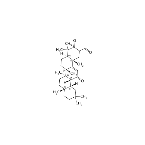 CC1(C)CC[C@]2(C)CC[C@]3(C)[C@H](C(=O)C=C4[C@@]5(C)CC(C=O)C(=O)C(C)(C)[C@@H]5CC[C@]43C)[C@@H]2C1